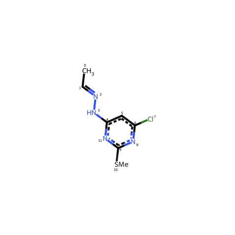 CC=NNc1cc(Cl)nc(SC)n1